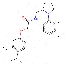 CC(C)c1ccc(OCC(=O)NCC2CCCN2c2ccccc2)cc1